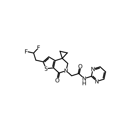 O=C(CN1CC2(CC2)c2cc(CC(F)F)sc2C1=O)Nc1ncccn1